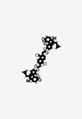 O=C(Cc1ccc2c(Cl)c(CC(=O)Oc3ccc4c5c3O[C@H]3C(=O)CC[C@@]6(O)[C@@H](C4)N(CC4CC4)CC[C@]536)ccc2c1Cl)Oc1ccc2c3c1O[C@H]1C(=O)CC[C@@]4(O)[C@@H](C2)N(CC2CC2)CC[C@]314